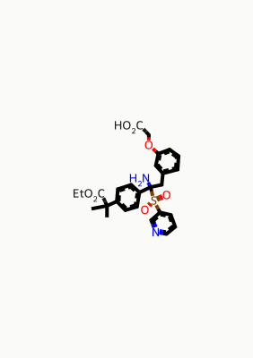 CCOC(=O)C(C)(C)c1ccc(C(N)(Cc2cccc(OCC(=O)O)c2)S(=O)(=O)c2cccnc2)cc1